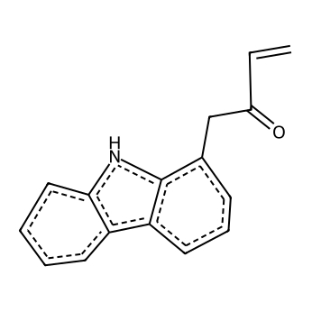 C=CC(=O)Cc1cccc2c1[nH]c1ccccc12